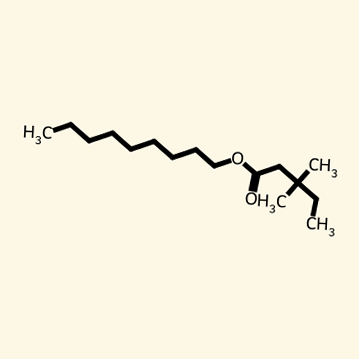 CCCCCCCCCOC(=O)CC(C)(C)CC